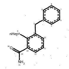 CCCCCCCc1c(Cc2ccccc2)cccc1C(N)=O